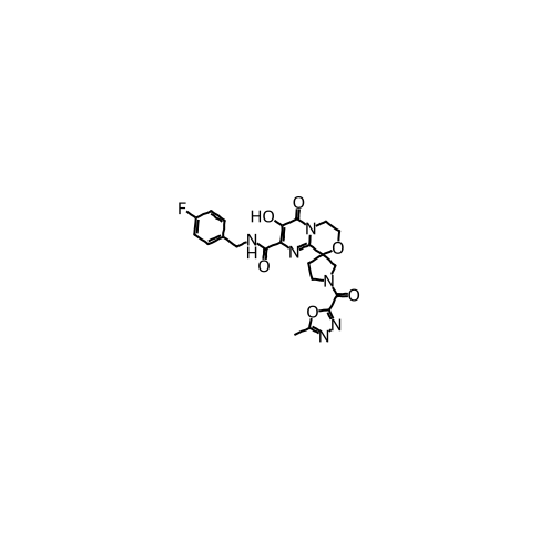 Cc1nnc(C(=O)N2CCC3(C2)OCCn2c3nc(C(=O)NCc3ccc(F)cc3)c(O)c2=O)o1